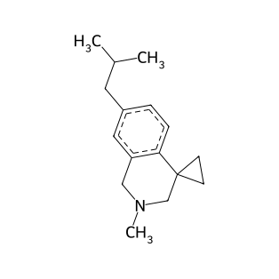 CC(C)Cc1ccc2c(c1)CN(C)CC21CC1